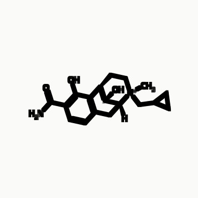 C[N+]1(CC2CC2)CC[C@]23CCCC[C@@]2(O)[C@H]1Cc1ccc(C(N)=O)c(O)c13